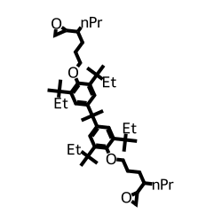 CCCC(CCCOc1c(C(C)(C)CC)cc(C(C)(C)c2cc(C(C)(C)CC)c(OCCCC(CCC)C3CO3)c(C(C)(C)CC)c2)cc1C(C)(C)CC)C1CO1